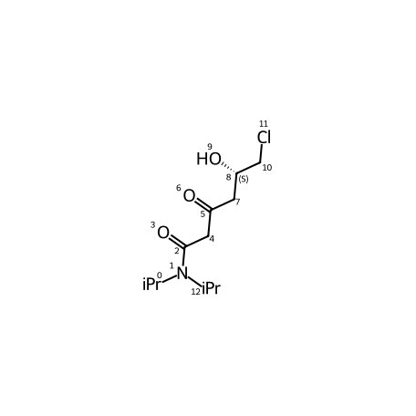 CC(C)N(C(=O)CC(=O)C[C@H](O)CCl)C(C)C